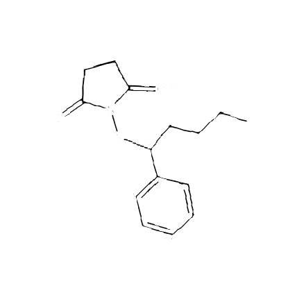 CCCCC(SN1C(=O)CCC1=O)c1ccccc1